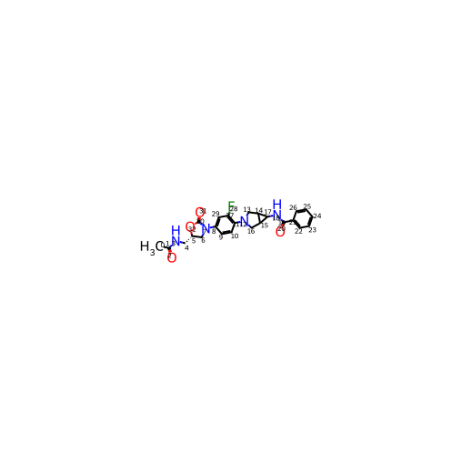 CC(=O)NC[C@H]1CN(c2ccc(N3CC4C(C3)C4NC(=O)c3ccccc3)c(F)c2)C(=O)O1